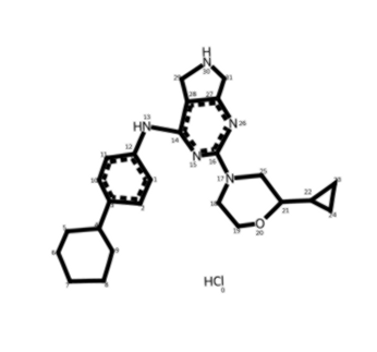 Cl.c1cc(C2CCCCC2)ccc1Nc1nc(N2CCOC(C3CC3)C2)nc2c1CNC2